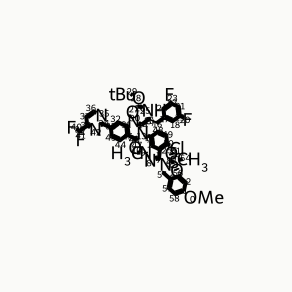 COc1ccc(CN(c2nn(C)c3c(-n4c([C@H](Cc5cc(F)cc(F)c5)NC(=O)OC(C)(C)C)nc5cc(-c6nccc(C(F)F)n6)ccc5c4=O)ccc(Cl)c23)S(C)(=O)=O)cc1